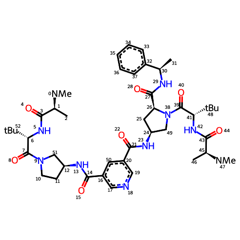 CN[C@@H](C)C(=O)N[C@H](C(=O)N1CC[C@H](NC(=O)c2cncc(C(=O)N[C@H]3C[C@@H](C(=O)N[C@H](C)c4ccccc4)N(C(=O)[C@@H](NC(=O)[C@H](C)NC)C(C)(C)C)C3)c2)C1)C(C)(C)C